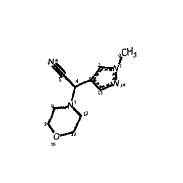 Cn1cc(C(C#N)N2CCOCC2)cn1